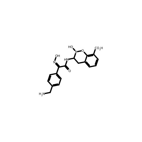 NCc1ccc(C(=NO)C(=O)NC2Cc3cccc(C(=O)O)c3OB2O)cc1